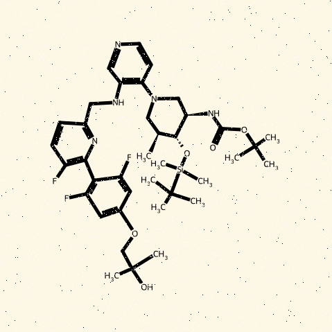 C[C@H]1CN(c2ccncc2NCc2ccc(F)c(-c3c(F)cc(OCC(C)(C)O)cc3F)n2)C[C@@H](NC(=O)OC(C)(C)C)[C@@H]1O[Si](C)(C)C(C)(C)C